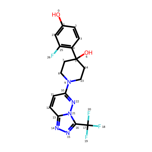 Oc1ccc(C2(O)CCN(c3ccc4nnc(C(F)(F)F)n4n3)CC2)c(F)c1